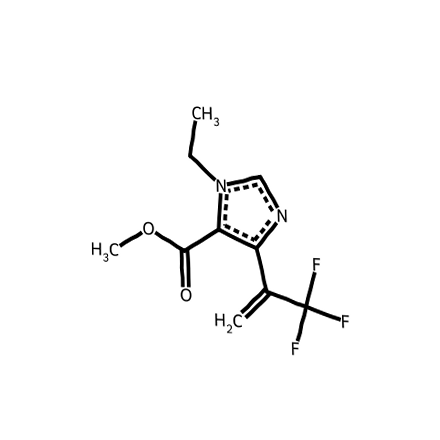 C=C(c1ncn(CC)c1C(=O)OC)C(F)(F)F